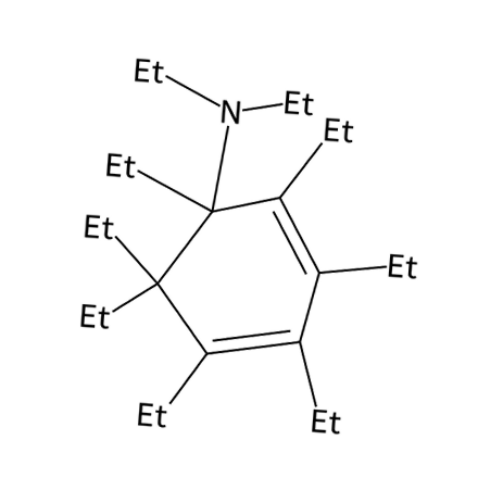 CCC1=C(CC)C(CC)(CC)C(CC)(N(CC)CC)C(CC)=C1CC